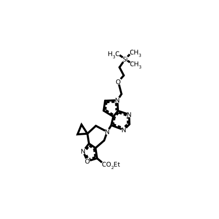 CCOC(=O)c1onc2c1CN(c1ncnc3c1ccn3COCC[Si](C)(C)C)CC21CC1